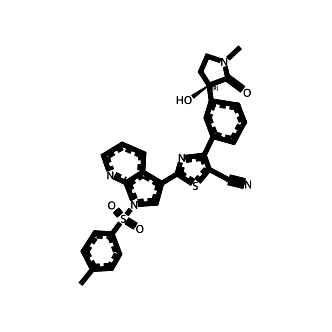 Cc1ccc(S(=O)(=O)n2cc(-c3nc(-c4cccc([C@]5(O)CCN(C)C5=O)c4)c(C#N)s3)c3cccnc32)cc1